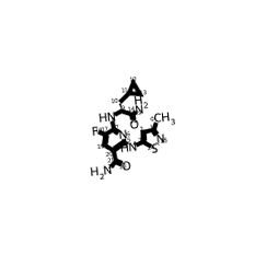 Cc1cc(Nc2nc(N[C@H](CC3CC3)C(N)=O)c(F)cc2C(N)=O)sn1